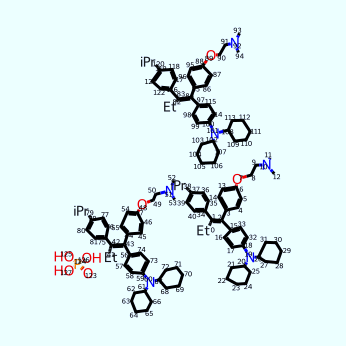 CCC(=C(c1ccc(OCCN(C)C)cc1)c1ccc(N(C2CCCCC2)C2CCCCC2)cc1)c1ccc(C(C)C)cc1.CCC(=C(c1ccc(OCCN(C)C)cc1)c1ccc(N(C2CCCCC2)C2CCCCC2)cc1)c1ccc(C(C)C)cc1.CCC(=C(c1ccc(OCCN(C)C)cc1)c1ccc(N(C2CCCCC2)C2CCCCC2)cc1)c1ccc(C(C)C)cc1.O=P(O)(O)O